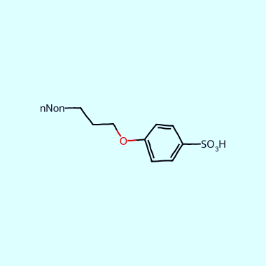 CCCCCCCCCCCCOc1ccc(S(=O)(=O)O)cc1